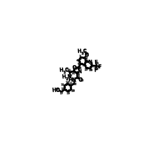 COc1ccc(-c2nc(C(=O)NCc3ccc(CO)cc3)c([C@H](C)N)o2)c2ccc(C(F)(F)F)nc12